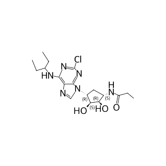 CCC(=O)N[C@H]1C[C@@H](n2cnc3c(NC(CC)CC)nc(Cl)nc32)[C@H](O)[C@@H]1O